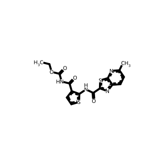 CCOC(=O)NC(=O)c1ccsc1NC(=O)c1nc2ccc(C)nc2s1